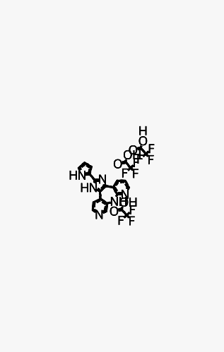 O=C(O)C(F)(F)F.O=C(O)C(F)(F)F.O=C(O)C(F)(F)F.c1c[nH]c(-c2nc3c([nH]2)-c2ccncc2Nc2ncccc2-3)c1